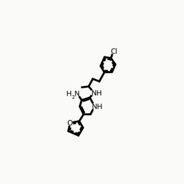 CC(CCc1ccc(Cl)cc1)NC1=C(N)C=C(c2ccco2)CN1